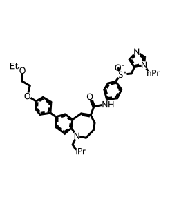 CCCn1cncc1C[S+]([O-])c1ccc(NC(=O)/C2=C/c3cc(-c4ccc(OCCOCC)cc4)ccc3N(CC(C)C)CCC2)cc1